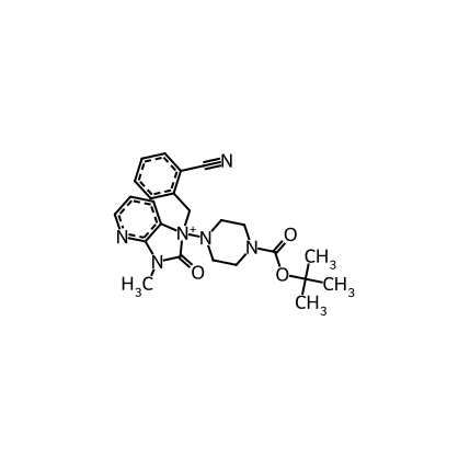 CN1C(=O)[N+](Cc2ccccc2C#N)(N2CCN(C(=O)OC(C)(C)C)CC2)c2cccnc21